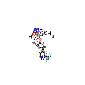 CC(C)C[C@@](C)(COc1ccc(-c2ccnc(C(F)F)c2)cc1I)OC(N)=O